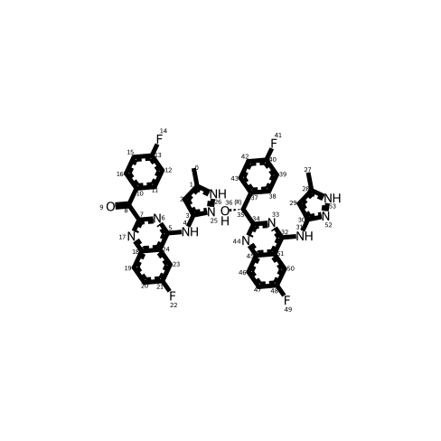 Cc1cc(Nc2nc(C(=O)c3ccc(F)cc3)nc3ccc(F)cc23)n[nH]1.Cc1cc(Nc2nc([C@H](O)c3ccc(F)cc3)nc3ccc(F)cc23)n[nH]1